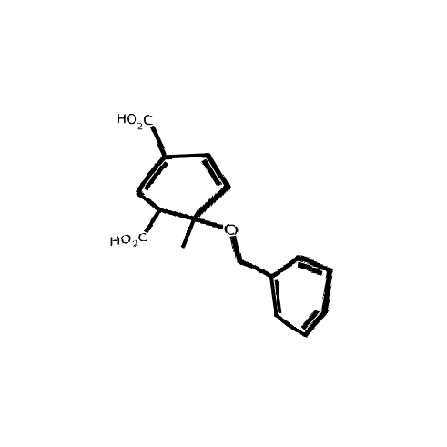 CC1(OCc2ccccc2)C=CC(C(=O)O)=CC1C(=O)O